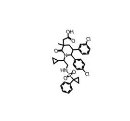 CC1(CC(=O)O)CC(c2cccc(Cl)c2)C(c2ccc(Cl)cc2)N(C(CNS(=O)(=O)C2(c3ccccc3)CC2)C2CC2)C1=O